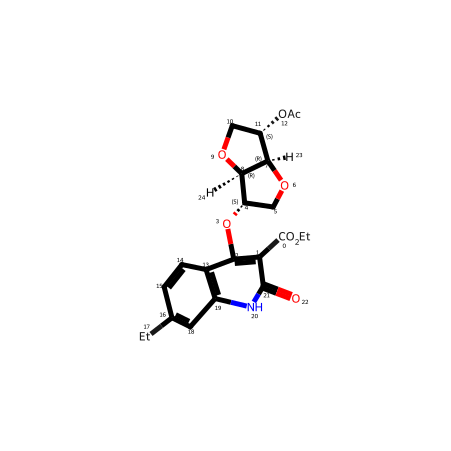 CCOC(=O)c1c(O[C@H]2CO[C@H]3[C@@H]2OC[C@@H]3OC(C)=O)c2ccc(CC)cc2[nH]c1=O